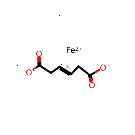 O=C([O-])C/C=C/CC(=O)[O-].[Fe+2]